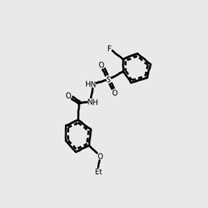 CCOc1cccc(C(=O)NNS(=O)(=O)c2ccccc2F)c1